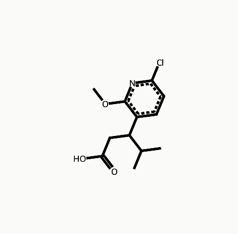 COc1nc(Cl)ccc1C(CC(=O)O)C(C)C